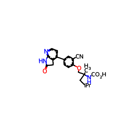 CC(C)CC(C)(COc1ccc(-c2ccnc3c2CC(=O)N3)cc1C#N)NC(=O)O